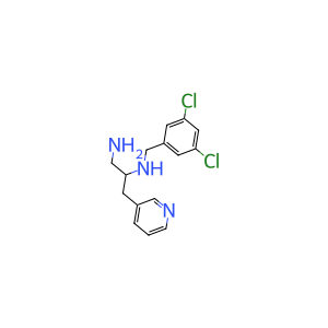 NCC(Cc1cccnc1)NCc1cc(Cl)cc(Cl)c1